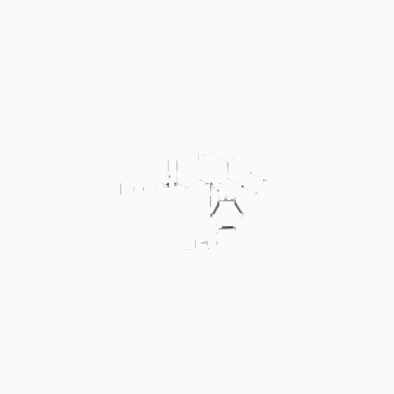 CCOc1ccc(C2(C(CC(C)C)NCCNC(=O)O)CCC2)cc1